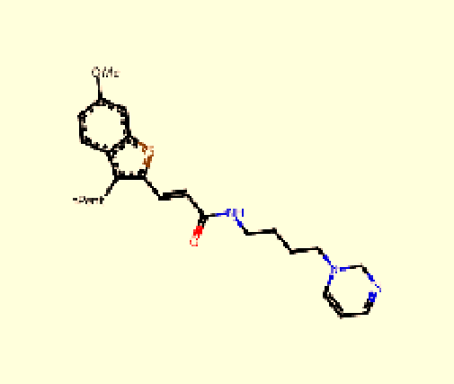 CCCCCc1c(C=CC(=O)NCCCCN2C=CC=NC2)sc2cc(OC)ccc12